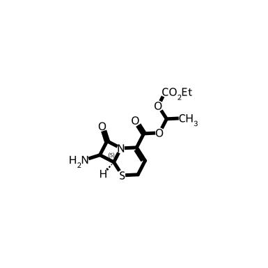 CCOC(=O)OC(C)OC(=O)C1=CCS[C@H]2C(N)C(=O)N12